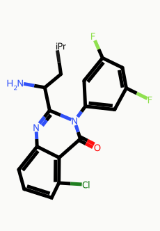 CC(C)CC(N)c1nc2cccc(Cl)c2c(=O)n1-c1cc(F)cc(F)c1